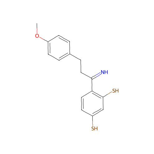 COc1ccc(CCC(=N)c2ccc(S)cc2S)cc1